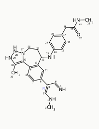 CN/C=C(\C=N)c1ccc2c(c1)C(Nc1ccc(CC(=O)NC)cc1)CCN1NNC(C)=C21